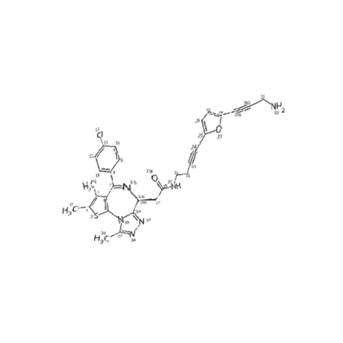 Cc1sc2c(c1C)C(c1ccc(Cl)cc1)=N[C@@H](CC(=O)NCCC#Cc1ccc(C#CCN)o1)c1nnc(C)n1-2